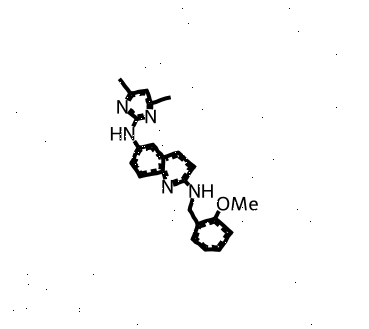 COc1ccccc1CNc1ccc2cc(Nc3nc(C)cc(C)n3)ccc2n1